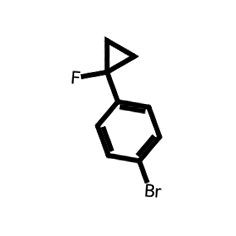 FC1(c2ccc(Br)cc2)CC1